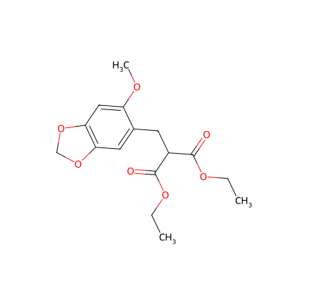 CCOC(=O)C(Cc1cc2c(cc1OC)OCO2)C(=O)OCC